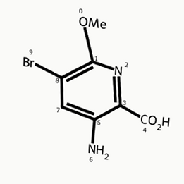 COc1nc(C(=O)O)c(N)cc1Br